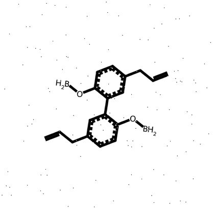 BOc1ccc(CC=C)cc1-c1cc(CC=C)ccc1OB